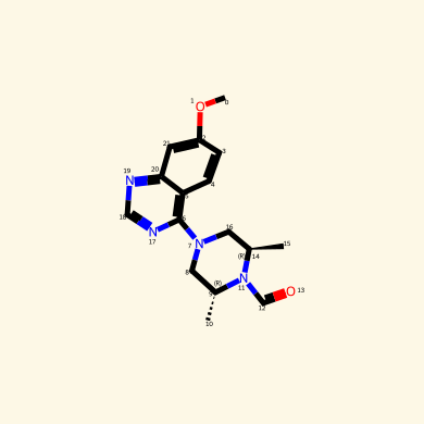 COc1ccc2c(N3C[C@@H](C)N(C=O)[C@H](C)C3)ncnc2c1